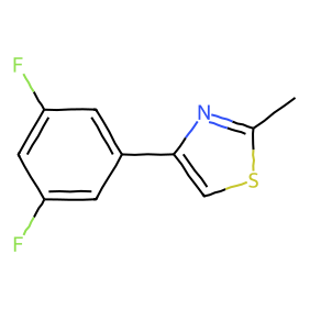 Cc1nc(-c2cc(F)cc(F)c2)cs1